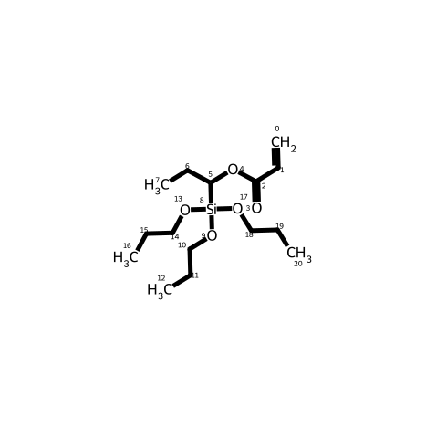 C=CC(=O)OC(CC)[Si](OCCC)(OCCC)OCCC